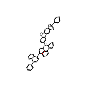 c1ccc(-c2nc3cc4c(cc3o2)oc2ccc(N(c3ccc(-c5ccc(-c6ccccc6)c6ccccc56)cc3)c3ccccc3-c3ccccc3)cc24)cc1